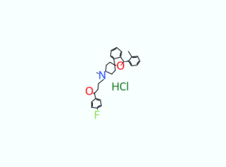 Cc1ccccc1[C@H]1OC2(CCC(N(C)CCCC(=O)c3ccc(F)cc3)CC2)c2ccccc21.Cl